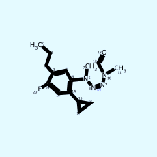 CCCc1cc(N(C)/N=N\N(C)C=O)c(C2CC2)cc1F